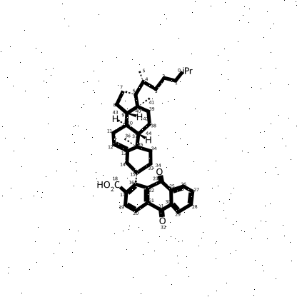 CC(C)CCC[C@@H](C)[C@H]1CC[C@H]2[C@@H]3CC=C4C[C@@H](c5c(C(=O)O)ccc6c5C(=O)c5ccccc5C6=O)CC[C@]4(C)[C@H]3CC[C@]12C